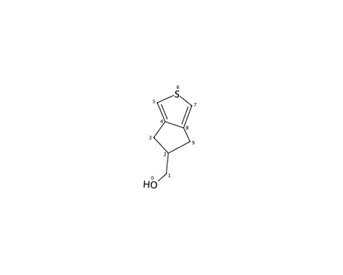 OCC1Cc2cscc2C1